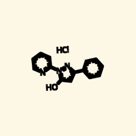 Cl.Oc1cc(-c2ccccc2)nn1-c1ccccn1